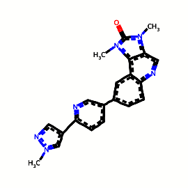 Cn1cc(-c2ccc(-c3ccc4ncc5c(c4c3)n(C)c(=O)n5C)cn2)cn1